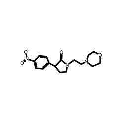 O=C1C(c2ccc([N+](=O)[O-])cc2)CCN1CCN1CCOCC1